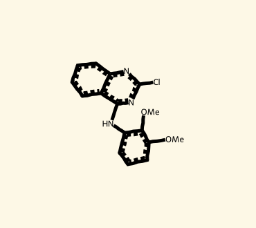 COc1cccc(Nc2nc(Cl)nc3ccccc23)c1OC